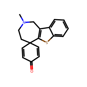 CN1CCC2(C=CC(=O)C=C2)c2sc3ccccc3c2C1